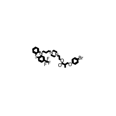 CC(COc1ccc(Br)cc1)C(=O)OCCN1CCN(CCCN2c3ccccc3Sc3ccc(C(F)(F)F)cc32)CC1